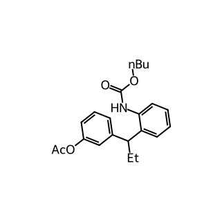 CCCCOC(=O)Nc1ccccc1C(CC)c1cccc(OC(C)=O)c1